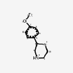 CCOc1ccc(C2CNCC[N]2)cc1